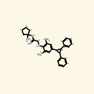 Cc1cc(C2C(c3ccccc3)C2c2ccccc2)cc(C)c1OCC(=O)OC1(C)CCCC1